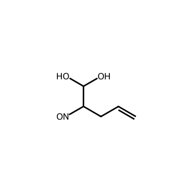 C=CCC(N=O)C(O)O